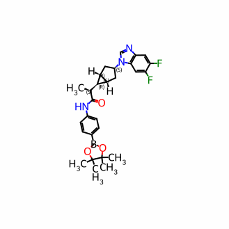 C[C@H](C(=O)Nc1ccc(B2OC(C)(C)C(C)(C)O2)cc1)[C@H]1[C@@H]2C[C@@H](n3cnc4cc(F)c(F)cc43)C[C@@H]21